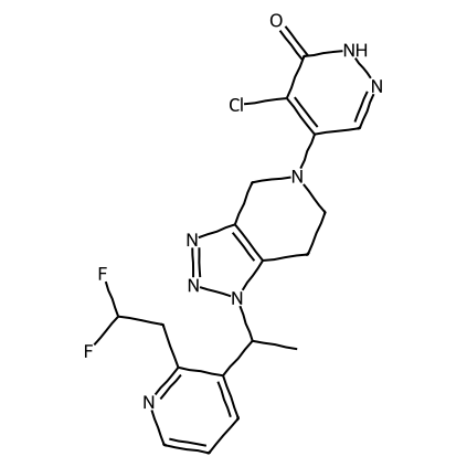 CC(c1cccnc1CC(F)F)n1nnc2c1CCN(c1cn[nH]c(=O)c1Cl)C2